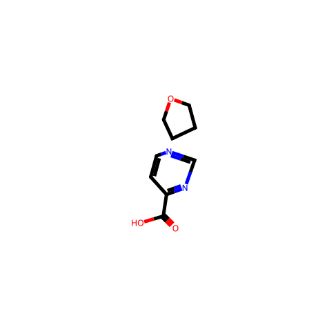 C1CCOC1.O=C(O)c1ccncn1